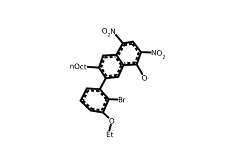 CCCCCCCCc1cc2c([N+](=O)[O-])cc([N+](=O)[O-])c([O])c2cc1-c1cccc(OCC)c1Br